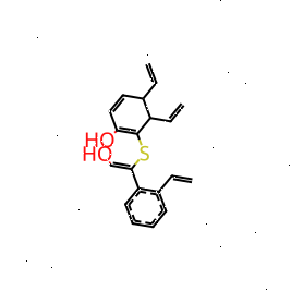 C=Cc1ccccc1/C(=C/O)SC1=C(O)C=CC(C=C)C1C=C